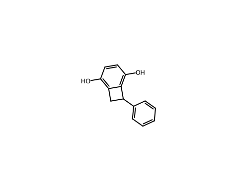 Oc1ccc(O)c2c1CC2c1ccccc1